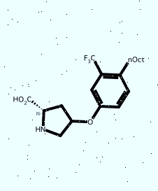 CCCCCCCCc1ccc(OC2CN[C@H](C(=O)O)C2)cc1C(F)(F)F